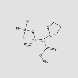 CC[Si](CC)(CC)O[C@@H](C(=O)O)[C@@H](C(=O)OC(C)(C)C)[C@H]1CCCO1